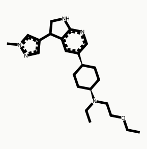 CCOCCN(CC)[C@H]1CC[C@@H](c2cnc3c(c2)C(c2cnn(C)c2)CN3)CC1